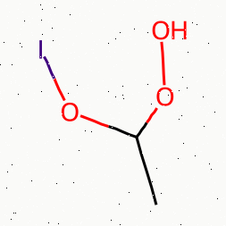 CC(OO)OI